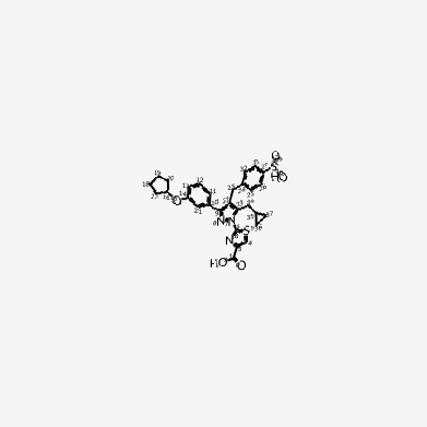 O=C(O)c1csc(-n2nc(-c3cccc(OC4CCCC4)c3)c(Cc3ccc([SH](=O)=O)cc3)c2CC2CC2)n1